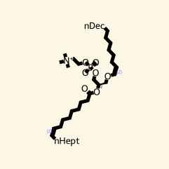 CCCCCCC/C=C\CCCCCCCC(=O)O[C@H](CO/C=C\CCCCCCCCCCCCCCCC)COP(=O)([O-])OCC[N+](C)(C)C